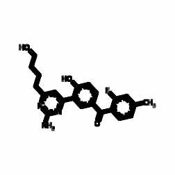 Cc1ccc(C(=O)c2ccc(O)c(-c3cc(CCCCO)nc(N)n3)c2)c(F)c1